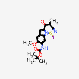 C=C(C#N)C(=O)c1cc2cc(OC)c(NC(=O)OC(C)(C)C)cc2n1SI